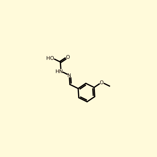 COc1cccc(C=NNC(=O)O)c1